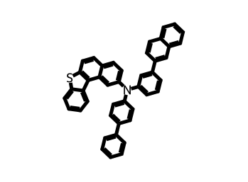 c1ccc(-c2ccc(N(c3cccc(-c4ccc5ccccc5c4)c3)c3ccc4ccc5sc6ccccc6c5c4c3)cc2)cc1